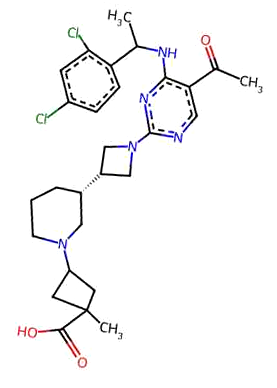 CC(=O)c1cnc(N2CC([C@H]3CCCN(C4CC(C)(C(=O)O)C4)C3)C2)nc1NC(C)c1ccc(Cl)cc1Cl